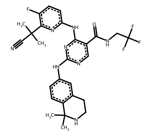 CC(C)(C#N)c1nc(Nc2nc(Nc3ccc4c(c3)CCNC4(C)C)ncc2C(=O)NCC(F)(F)F)ccc1F